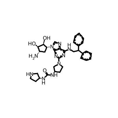 N[C@H]1C[C@@H](n2cnc3c(NCC(c4ccccc4)c4ccccc4)nc(N4CC[C@@H](NC(=O)N[C@@H]5CCNC5)C4)nc32)[C@H](O)[C@@H]1O